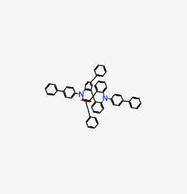 c1ccc(-c2ccc(N3c4ccccc4C4(c5ccccc53)c3cc(-c5ccccc5)ccc3N(c3ccc(-c5ccccc5)cc3)c3ccc(-c5ccccc5)cc34)cc2)cc1